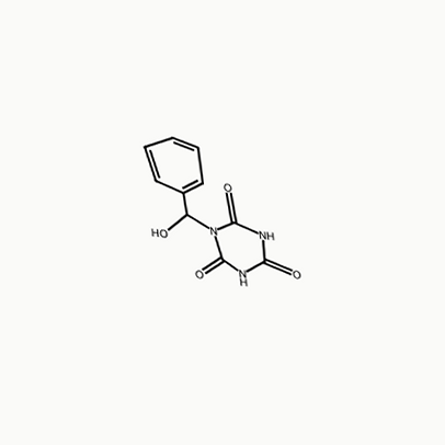 O=c1[nH]c(=O)n(C(O)c2ccccc2)c(=O)[nH]1